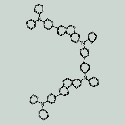 c1ccc(N(c2ccccc2)c2ccc(-c3ccc4c(ccc5cc(N(c6ccccc6)c6ccc(-c7ccc(N(c8ccccc8)c8ccc9c(ccc%10cc(-c%11ccc(N(c%12ccccc%12)c%12ccccc%12)cc%11)ccc%109)c8)cc7)cc6)ccc54)c3)cc2)cc1